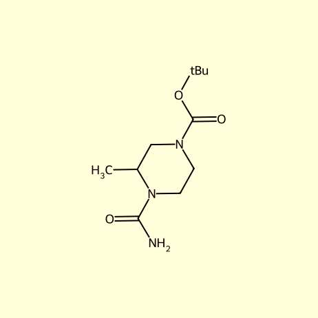 CC1CN(C(=O)OC(C)(C)C)CCN1C(N)=O